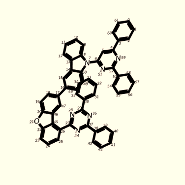 c1ccc(-c2cc(-n3c4ccccc4c4cc(-c5ccc6oc7cccc(-c8nc(-c9ccccc9)nc(-c9ccccc9)n8)c7c6c5)ccc43)nc(-c3ccccc3)n2)cc1